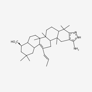 C/C=C/C1=C2C3CC(C)(C)C[C@@H](C(=O)O)C3CCC2(C)C2(C)CCC3C(C)(C)c4n[nH]c(N)c4CC3(C)C2C1